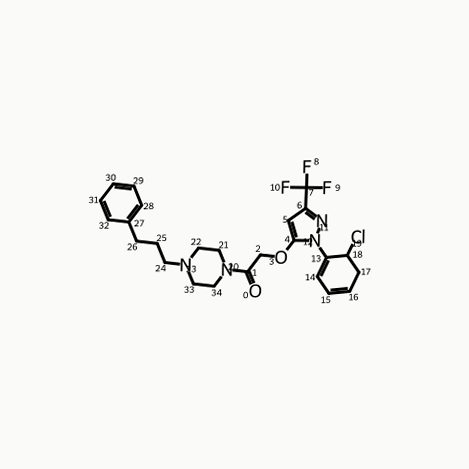 O=C(COc1cc(C(F)(F)F)nn1C1=CC=CCC1Cl)N1CCN(CCCc2ccccc2)CC1